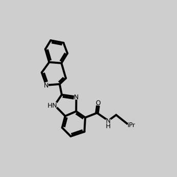 CC(C)CNC(=O)c1cccc2[nH]c(-c3cc4ccccc4cn3)nc12